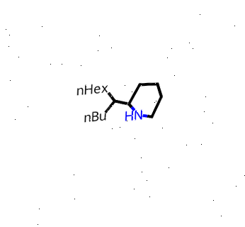 CCCCCCC(CCCC)C1CCCCN1